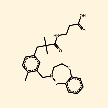 Cc1ccc(CC(C)(C)C(=O)NCCC(=O)O)cc1CN1CCOc2ccccc2S1